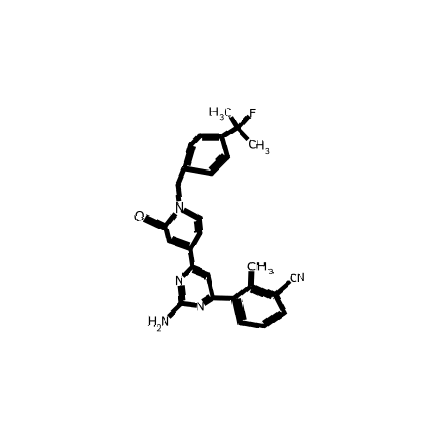 Cc1c(C#N)cccc1-c1cc(-c2ccn(Cc3ccc(C(C)(C)F)cc3)c(=O)c2)nc(N)n1